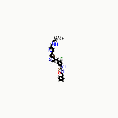 COCCNCc1ccc(-c2cc3nccc(Cc4ccc(NC(=S)NC(=O)Cc5ccccc5)cc4F)c3s2)nc1